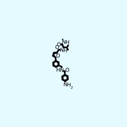 CNC(=O)[C@@H](NC(=O)c1ccc(-c2cccc(CNC(=O)c3ccc(N)cc3)c2)o1)C(C)C